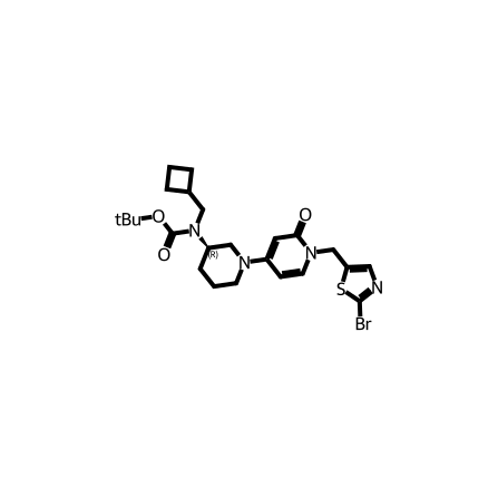 CC(C)(C)OC(=O)N(CC1CCC1)[C@@H]1CCCN(c2ccn(Cc3cnc(Br)s3)c(=O)c2)C1